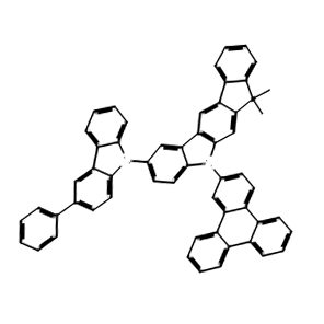 CC1(C)c2ccccc2-c2cc3c4cc(-n5c6ccccc6c6cc(-c7ccccc7)ccc65)ccc4n(-c4ccc5c6ccccc6c6ccccc6c5c4)c3cc21